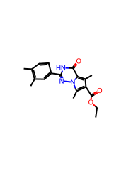 CCOC(=O)c1c(C)c2c(=O)[nH]c(-c3ccc(C)c(C)c3)nn2c1C